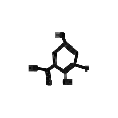 O=C(O)c1cc(O)cc(F)c1O